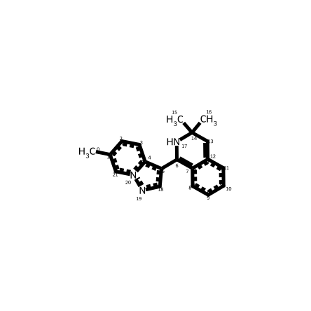 Cc1ccc2c(C3=c4ccccc4=CC(C)(C)N3)cnn2c1